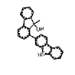 CC1(O)c2ccccc2-c2cccc(-c3ccc4c(c3)[nH]c3ccccc34)c21